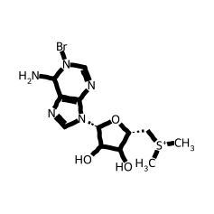 C[S+](C)C[C@H]1O[C@@H](n2cnc3c2N=CN(Br)C3N)C(O)C1O